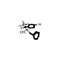 CCC(c1ccc(C#N)cc1)(N(C=O)OCc1ccccc1)P(=O)(O)O